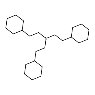 C1CCC(CCN(CCC2CCCCC2)CCC2CCCCC2)CC1